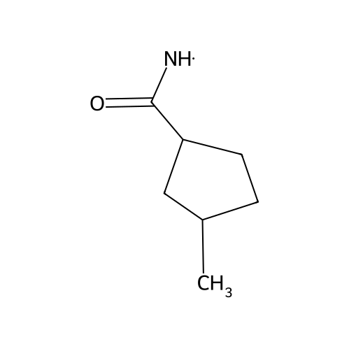 CC1CCC(C([NH])=O)C1